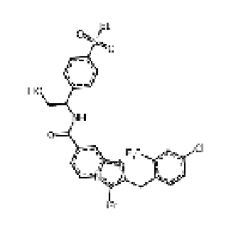 CCS(=O)(=O)c1ccc([C@H](CO)NC(=O)c2ccn3c(C(C)C)c(Cc4ccc(Cl)cc4C(F)(F)F)nc3c2)cc1